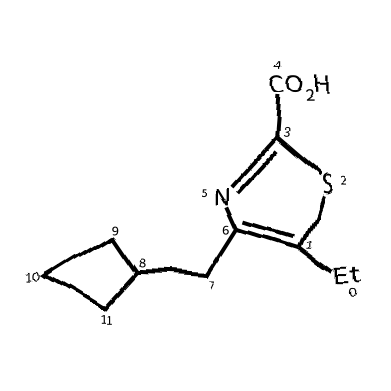 CCc1sc(C(=O)O)nc1CC1CCC1